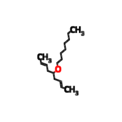 CC=CCC(CC=CC)OCCCCCCCC